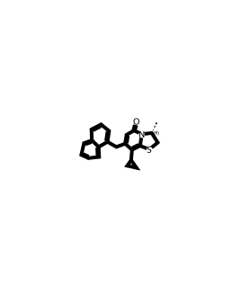 C[C@@H]1CSc2c(C3CC3)c(Cc3cccc4ccccc34)cc(=O)n21